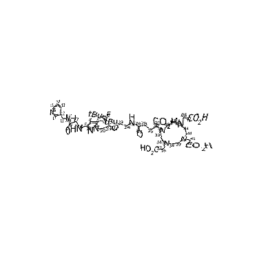 CC(C)(C)[Si](F)(c1cc(NCC(=O)NCc2cccnc2)nn1CCOCCNC(=O)CCC(C(=O)O)N1CCN(CC(=O)O)CCN(CC(=O)O)CCN(CC(=O)O)CC1)C(C)(C)C